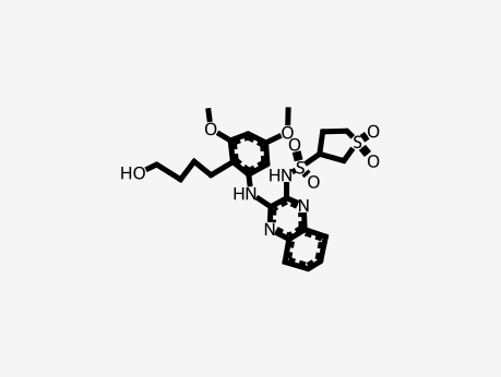 COc1cc(Nc2nc3ccccc3nc2NS(=O)(=O)C2CCS(=O)(=O)C2)c(CCCCO)c(OC)c1